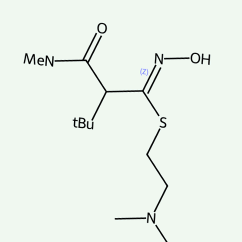 CNC(=O)C(/C(=N/O)SCCN(C)C)C(C)(C)C